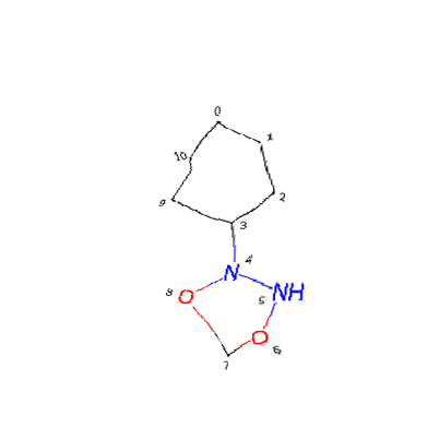 C1CCC(N2NOCO2)CC1